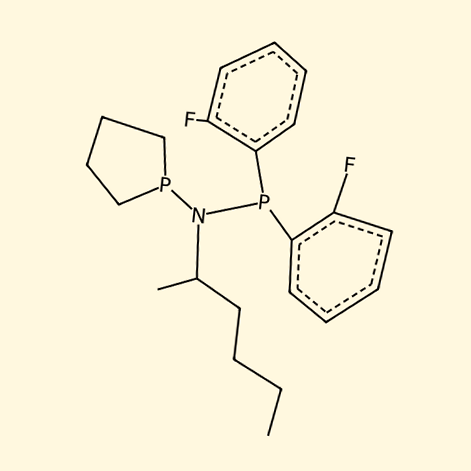 CCCCC(C)N(P1CCCC1)P(c1ccccc1F)c1ccccc1F